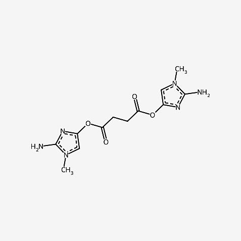 Cn1cc(OC(=O)CCC(=O)Oc2cn(C)c(N)n2)nc1N